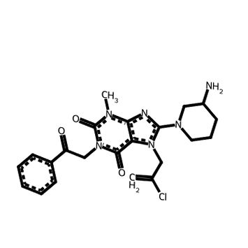 C=C(Cl)Cn1c(N2CCCC(N)C2)nc2c1c(=O)n(CC(=O)c1ccccc1)c(=O)n2C